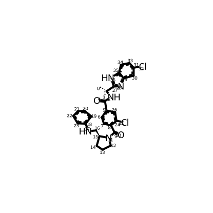 C[C@@H](NC(=O)c1ccc(C(=O)N2CCC[C@H]2CNc2ccccc2)c(Cl)c1)c1nc2cc(Cl)ccc2[nH]1